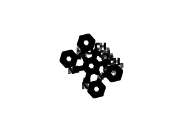 CC(C)(C)c1c(N(c2ccccc2)c2ccccc2)c(C#N)c(C#N)c(N(c2ccccc2)c2ccccc2)c1C(C)(C)C